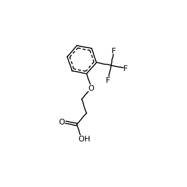 O=C(O)CCOc1ccccc1C(F)(F)F